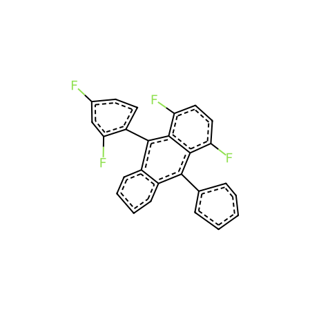 Fc1ccc(-c2c3ccccc3c(-c3ccccc3)c3c(F)ccc(F)c23)c(F)c1